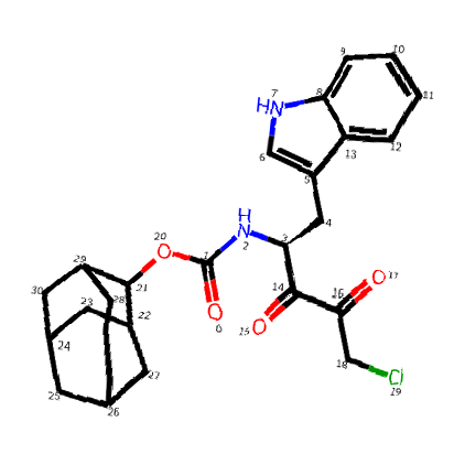 O=C(N[C@@H](Cc1c[nH]c2ccccc12)C(=O)C(=O)CCl)OC1C2CC3CC(C2)CC1C3